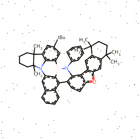 CC(C)(C)c1cc2c3c(c1)C1(C)CCCCC1(C)N3c1cc3ccccc3c3c1B2N(c1ccccc1)c1c-3ccc2oc3cc4c(cc3c12)C(C)(C)CCC4(C)C